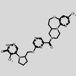 O=C(c1cncc(OCC2CCCN2c2cn[nH]c(=O)c2C(F)(F)F)n1)N1CCN2c3ncc(C(F)(F)F)cc3OCCC2C1